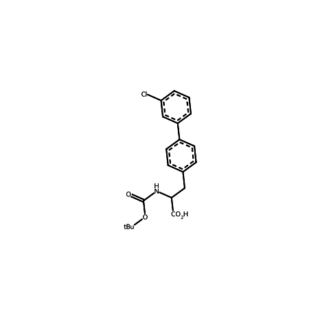 CC(C)(C)OC(=O)NC(Cc1ccc(-c2cccc(Cl)c2)cc1)C(=O)O